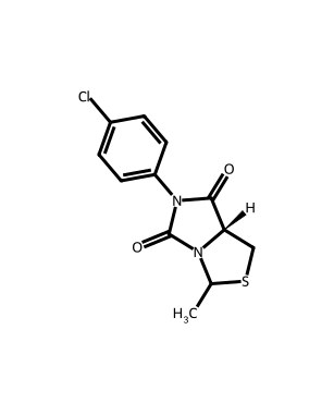 CC1SC[C@H]2C(=O)N(c3ccc(Cl)cc3)C(=O)N12